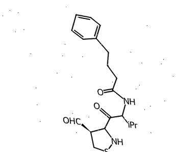 CC(C)C(NC(=O)CCCc1ccccc1)C(=O)C1NSC[C@H]1C=O